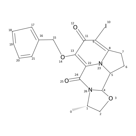 C[C@H]1COC2C3CCc4c(I)c(=O)c(OCc5ccccc5)c(n43)C(=O)N21